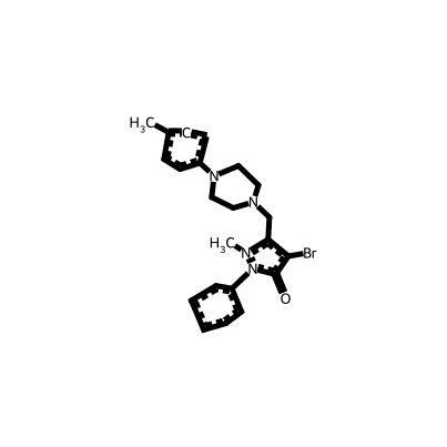 Cc1ccc(N2CCN(Cc3c(Br)c(=O)n(-c4ccccc4)n3C)CC2)cc1